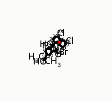 CC(C)(O)c1cc(F)c2c(c1)C(=O)N(c1ccc(Cl)cc1Br)C2(O)c1ccc(Cl)cc1